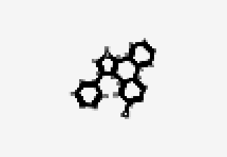 Clc1ccc2c3ccccc3c3occ(-c4ccccc4)c3c2c1